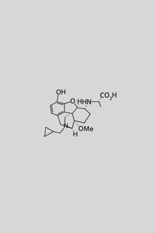 CO[C@@]12CC[C@@H](N[C@@H](C)C(=O)O)[C@@H]3Oc4c(O)ccc5c4[C@@]31CCN(CC1CC1)[C@@H]2C5